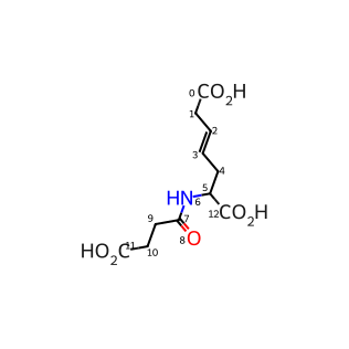 O=C(O)C/C=C/CC(NC(=O)CCC(=O)O)C(=O)O